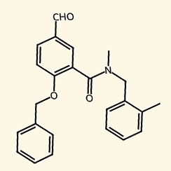 Cc1ccccc1CN(C)C(=O)c1cc(C=O)ccc1OCc1ccccc1